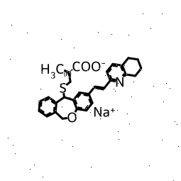 C[C@@H](CSC1c2ccccc2COc2ccc(C=Cc3ccc4c(n3)CCCC4)cc21)C(=O)[O-].[Na+]